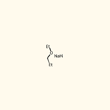 CCCOCC.[NaH]